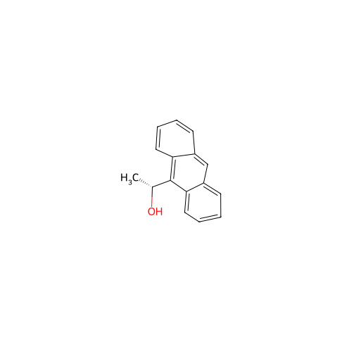 C[C@@H](O)c1c2ccccc2cc2ccccc12